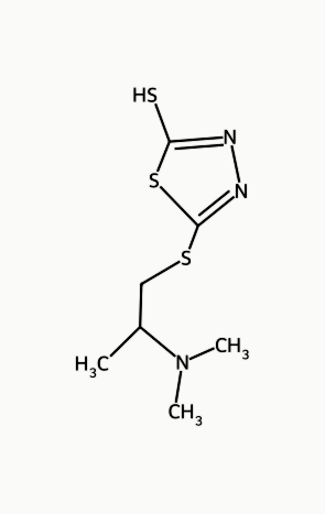 CC(CSc1nnc(S)s1)N(C)C